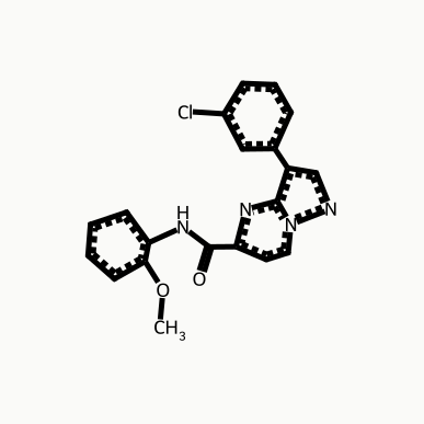 COc1ccccc1NC(=O)c1ccn2ncc(-c3cccc(Cl)c3)c2n1